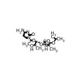 CC(C)OC(=O)[C@H](C)N[PH](=O)OC[C@@H](O[C@H](C)n1ccc(N)nc1=O)[C@H](C)O